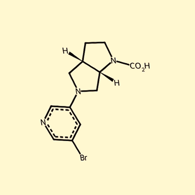 O=C(O)N1CC[C@H]2CN(c3cncc(Br)c3)C[C@H]21